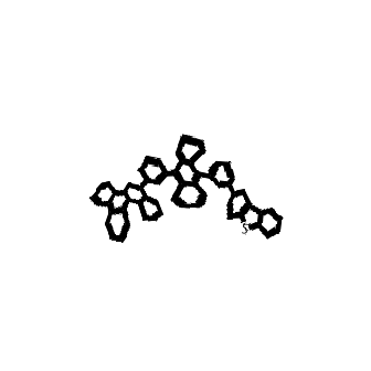 C1=CC2Sc3ccc(-c4cccc(-c5c6ccccc6c(-c6cccc(-c7cc8c9ccccc9c9ccccc9c8c8ccccc78)c6)c6ccccc56)c4)cc3C2C=C1